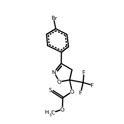 COC(=S)OC1(C(F)(F)F)CC(c2ccc(Br)cc2)=NO1